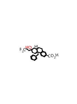 O=C(O)c1ccc2c(c1)CC[C@@H]1CC(O)(CCC(F)(F)F)CC[C@@]21Cc1ccccc1